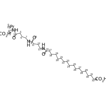 CCC[C@H](NC(=O)CCCNC(=O)CCCNC(=O)CCCCCCCCCCCCCCCCC(=O)O)C(=O)O